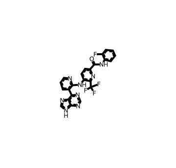 O=C(Nc1ccccc1F)c1ccc(Nc2ncccc2-c2ncnc3[nH]cnc23)c(C(F)(F)F)n1